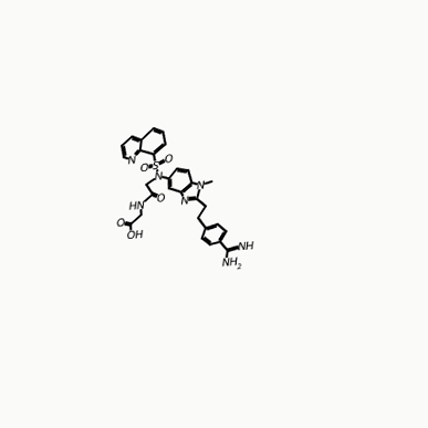 Cn1c(CCc2ccc(C(=N)N)cc2)nc2cc(N(CC(=O)NCC(=O)O)S(=O)(=O)c3cccc4cccnc34)ccc21